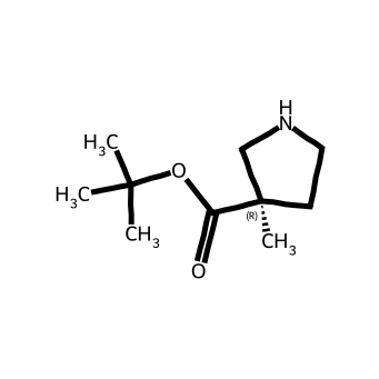 CC(C)(C)OC(=O)[C@]1(C)CCNC1